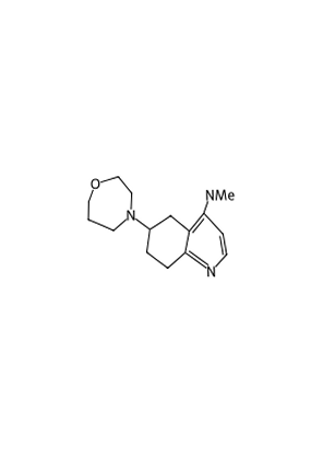 CNc1ccnc2c1CC(N1CCCOCC1)CC2